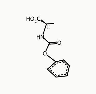 C[C@@H](NC(=O)Oc1ccccc1)C(=O)O